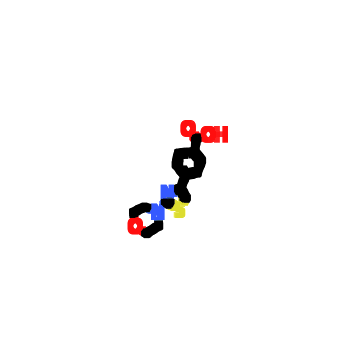 O=C(O)c1ccc(-c2csc(N3CCOCC3)n2)cc1